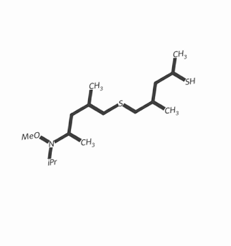 CON(C(C)C)C(C)CC(C)CSCC(C)CC(C)S